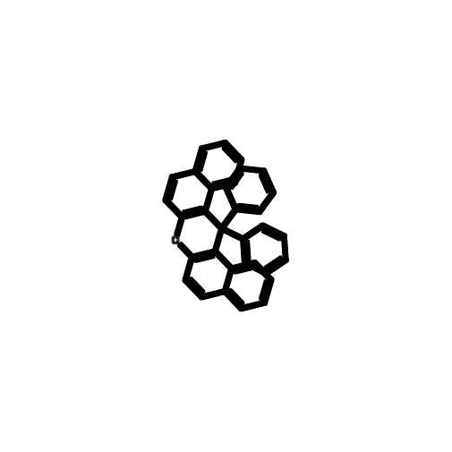 c1ccc(C2(c3ccccc3)c3c(ccc4ccccc34)Oc3ccc4ccccc4c32)cc1